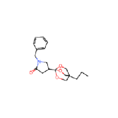 CCCC12COC(C3CC(=O)N(Cc4ccccc4)C3)(OC1)OC2